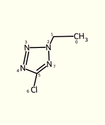 CCn1nnc(Cl)n1